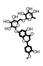 COc1ccc(C2CC(=O)c3c(O)cc(O[C@@H]4OC(CO[C@@H]5OC(C)[C@H](O)C(O)C5O)[C@@H](O)C(O)C4O)cc3O2)cc1O